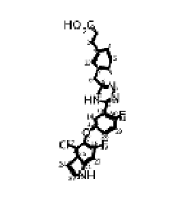 O=C(O)CCc1cccc(Cc2nnc(-c3cc(Oc4c(F)cc5[nH]ccc5c4Cl)ccc3F)[nH]2)c1